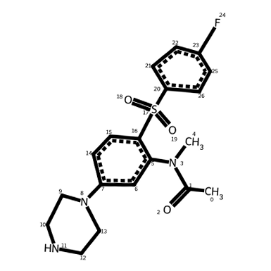 CC(=O)N(C)c1cc(N2CCNCC2)ccc1S(=O)(=O)c1ccc(F)cc1